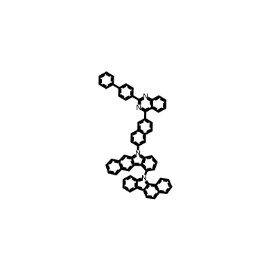 c1ccc(-c2ccc(-c3nc(-c4ccc5cc(-n6c7cc8ccccc8cc7c7c(-n8c9ccccc9c9ccc%10ccccc%10c98)cccc76)ccc5c4)c4ccccc4n3)cc2)cc1